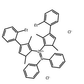 CCc1ccccc1C1=CC(C)[C]([Zr+2]([C]2=C(C)C(c3ccccc3CC)=CC2C)=[Si](c2ccccc2)c2ccccc2)=C1C.[Cl-].[Cl-]